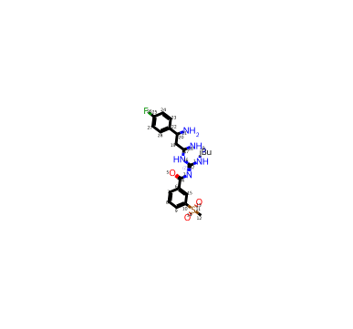 CCC(C)N/C(=N/C(=O)c1cccc(S(C)(=O)=O)c1)NC(N)CC(N)c1ccc(F)cc1